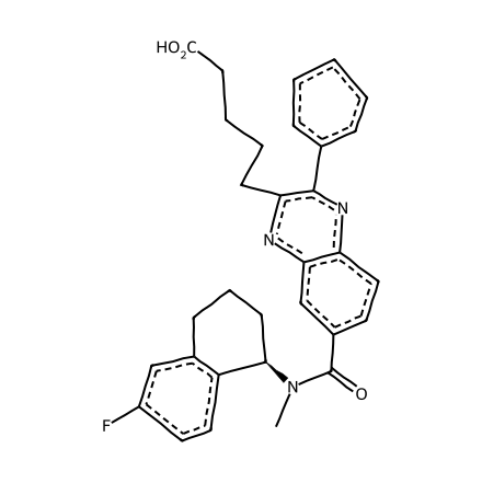 CN(C(=O)c1ccc2nc(-c3ccccc3)c(CCCCC(=O)O)nc2c1)[C@@H]1CCCc2cc(F)ccc21